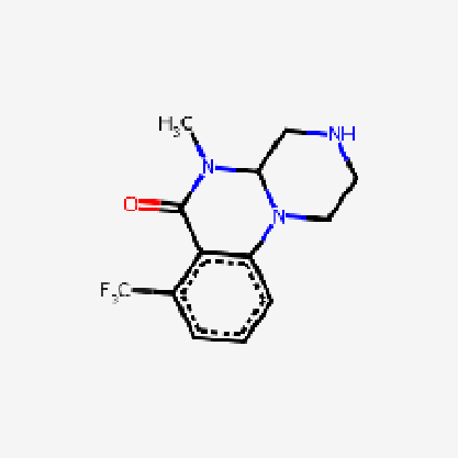 CN1C(=O)c2c(cccc2C(F)(F)F)N2CCNCC12